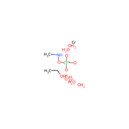 CCO.CNO[Cl+3]([O-])([O-])[O-].O.O.O.O.O.O.[Cr]